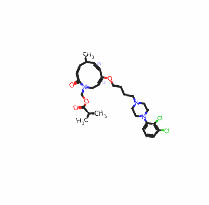 CC1/C=C\C(OCCCCN2CCN(c3cccc(Cl)c3Cl)CC2)=C/CN(COC(=O)C(C)C)C(=O)CC1